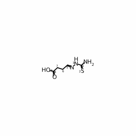 NC(=S)NN=CCCC(=O)O